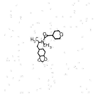 CC(CC1CCC2OCOC2C1)N(C)C1OC1C1CCOCC1